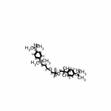 C[SiH](C)c1ccc(C(C)(C)COC(F)(F)COCCC[Si](C)(C)c2ccc([SiH](C)C)cc2)cc1